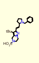 CC(C)(C)c1c(C=CC2CCCN2Cc2ccccc2)nn2c1CN(C(=O)O)CC2